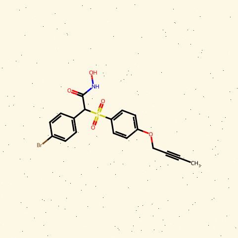 CC#CCOc1ccc(S(=O)(=O)C(C(=O)NO)c2ccc(Br)cc2)cc1